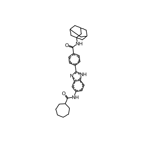 O=C(NC12CC3CC(CC(C3)C1)C2)c1ccc(-c2nc3cc(NC(=O)C4CCCCCC4)ccc3[nH]2)cc1